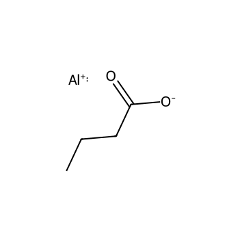 CCCC(=O)[O-].[Al+]